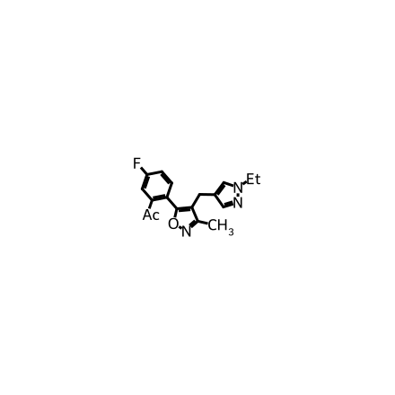 CCn1cc(Cc2c(C)noc2-c2ccc(F)cc2C(C)=O)cn1